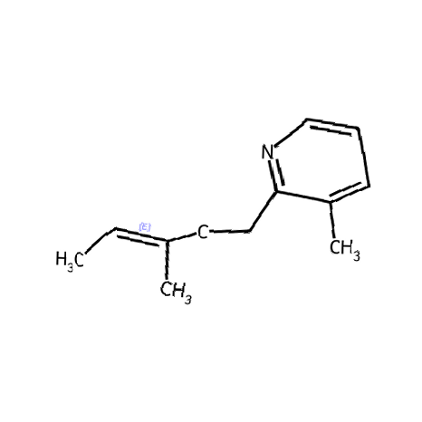 C/C=C(\C)CCc1ncccc1C